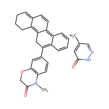 CN1C(=O)COc2cc(C3=c4ccccc4=c4ccc5c(c4C3)CCCC=5)ccc21.Cc1cn[nH]c(=O)c1